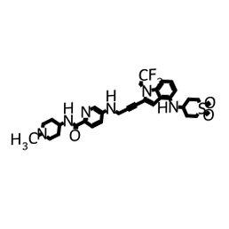 CN1CCC(NC(=O)c2ccc(NCC#Cc3cc4c(NC5CCS(=O)(=O)CC5)cccc4n3CC(F)(F)F)cn2)CC1